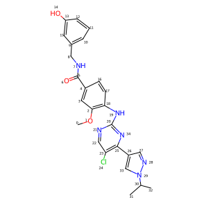 COc1cc(C(=O)NCc2cccc(O)c2)ccc1Nc1ncc(Cl)c(-c2cnn(C(C)C)c2)n1